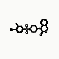 Cc1cc(S(=O)(=O)N2CCC(N3C(=O)OCc4ccccc43)CC2)ccc1Br